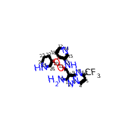 Nc1nn2ccc(C(F)(F)F)nc2c1C(=O)Nc1cnccc1OC1CCCNC1